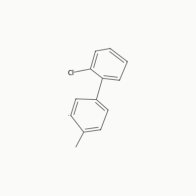 Cc1[c]cc(-c2ccccc2Cl)cc1